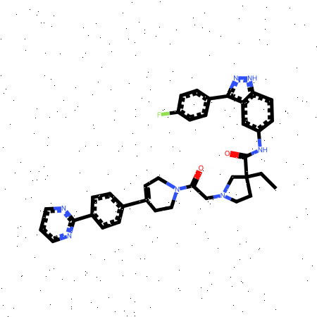 CCC1(C(=O)Nc2ccc3[nH]nc(-c4ccc(F)cc4)c3c2)CCN(CC(=O)N2CC=C(c3ccc(-c4ncccn4)cc3)CC2)C1